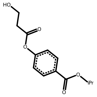 CC(C)OC(=O)c1ccc(OC(=O)CCO)cc1